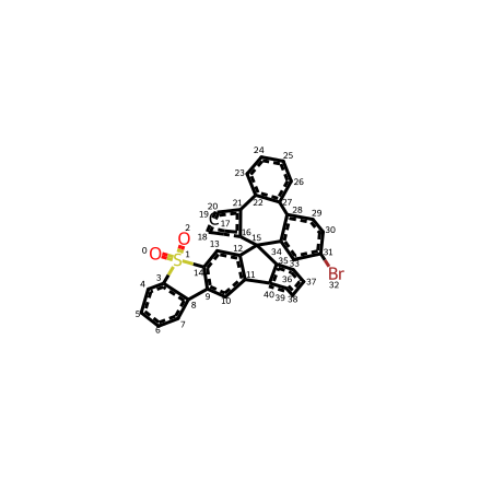 O=S1(=O)c2ccccc2-c2cc3c(cc21)C1(c2ccccc2-c2ccccc2-c2ccc(Br)cc21)c1ccccc1-3